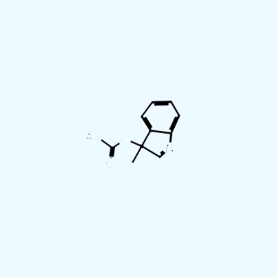 CC(=O)C(=O)OC1(C)C=Nc2ccccc21